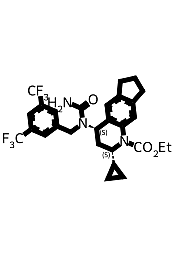 CCOC(=O)N1c2cc3c(cc2[C@@H](N(Cc2cc(C(F)(F)F)cc(C(F)(F)F)c2)C(N)=O)C[C@H]1C1CC1)CCC3